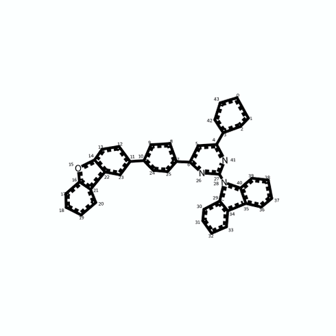 c1ccc(-c2cc(-c3ccc(-c4ccc5oc6ccccc6c5c4)cc3)nc(-n3c4ccccc4c4ccccc43)n2)cc1